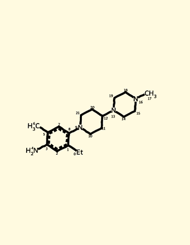 CCc1cc(N)c(C)cc1N1CCC(N2CCN(C)CC2)CC1